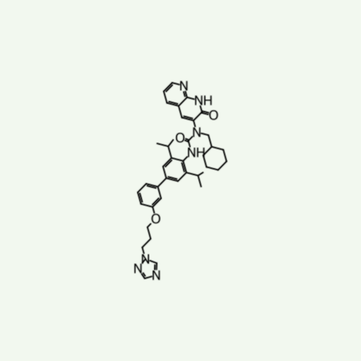 CC(C)c1cc(-c2cccc(OCCCn3cncn3)c2)cc(C(C)C)c1NC(=O)N(CC1CCCCC1)c1cc2cccnc2[nH]c1=O